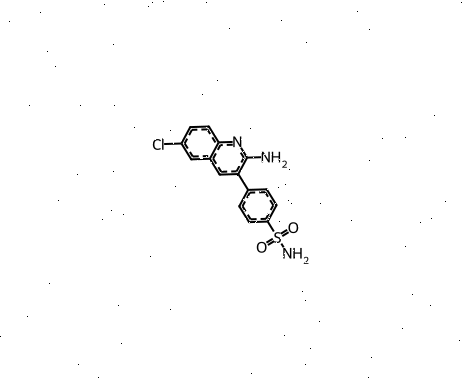 Nc1nc2ccc(Cl)cc2cc1-c1ccc(S(N)(=O)=O)cc1